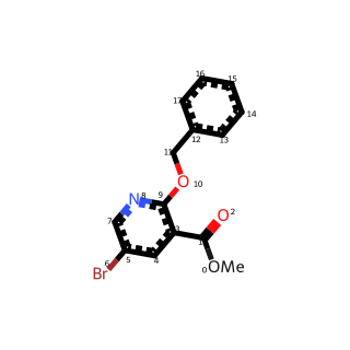 COC(=O)c1cc(Br)cnc1OCc1ccccc1